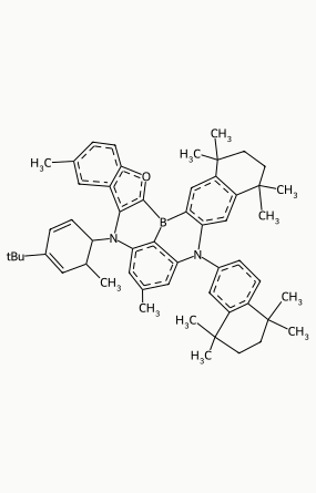 Cc1cc2c3c(c1)N(C1C=CC(C(C)(C)C)=CC1C)c1c(oc4ccc(C)cc14)B3c1cc3c(cc1N2c1ccc2c(c1)C(C)(C)CCC2(C)C)C(C)(C)CCC3(C)C